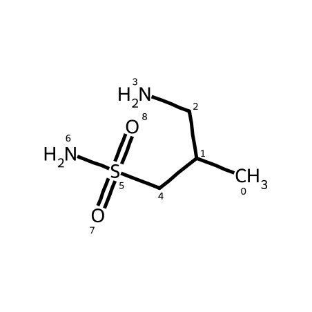 CC(CN)CS(N)(=O)=O